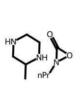 CC1CNCCN1.CCCN1OC1=O